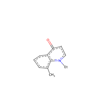 CCn1c[c]c(=O)c2cccc(C)c21